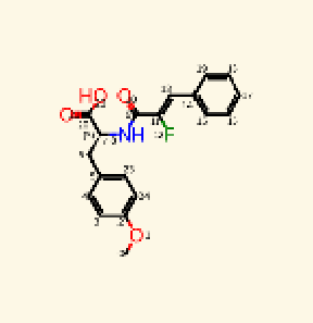 COc1ccc(C[C@H](NC(=O)C(F)=Cc2ccccc2)C(=O)O)cc1